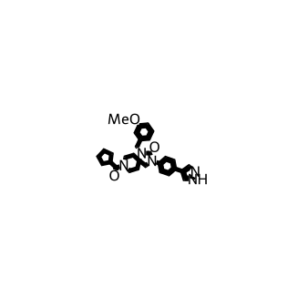 COc1cccc(CN2C(=O)N(c3ccc(-c4cn[nH]c4)cc3)CC23CCN(C(=O)C2CCCC2)CC3)c1